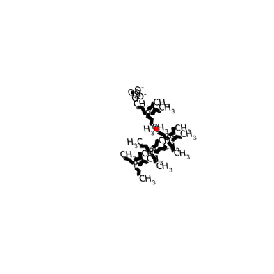 CCCC[P+](CCCC)(CCCC)CCCC.CCCC[P+](CCCC)(CCCC)CCCC.CCCC[P+](CCCC)(CCCC)CCCC.CCCC[P+](CCCC)(CCCC)CCCC.[O-][Si]([O-])([O-])[O-]